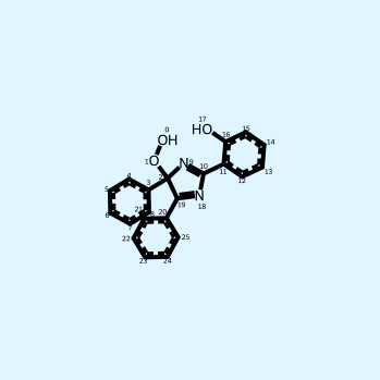 OOC1(c2ccccc2)N=C(c2ccccc2O)N=C1c1ccccc1